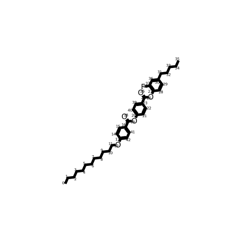 CCCCCCCCCCCCOc1ccc(C(=O)Oc2ccc(C(=O)Oc3ccc(CCCCC)cc3F)cc2)cc1